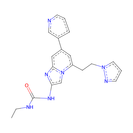 CCNC(=O)Nc1cn2c(CCn3cccn3)cc(-c3cccnc3)cc2n1